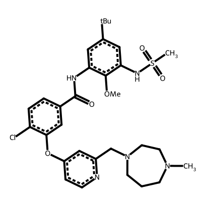 COc1c(NC(=O)c2ccc(Cl)c(Oc3ccnc(CN4CCCN(C)CC4)c3)c2)cc(C(C)(C)C)cc1NS(C)(=O)=O